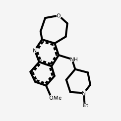 CCN1CCC(Nc2c3c(nc4ccc(OC)cc24)CCOCC3)CC1